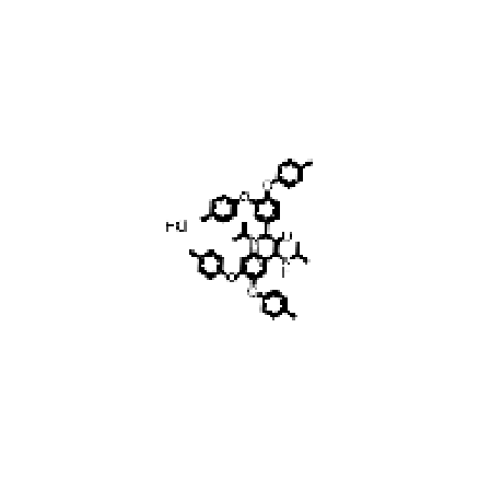 Cc1ccc(Oc2ccc(C(NC(C)C)C(=O)C(NC(C)C)c3ccc(Oc4ccc(C)cc4)c(Oc4ccc(C)cc4)c3)cc2Oc2ccc(C)cc2)cc1.Cl